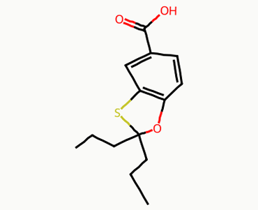 CCCC1(CCC)Oc2ccc(C(=O)O)cc2S1